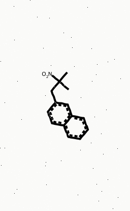 CC(C)(Cc1ccc2ccccc2c1)[N+](=O)[O-]